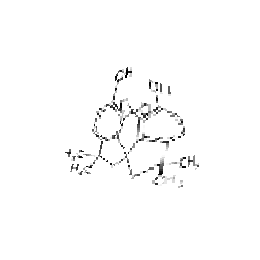 CC1(C)CC2(CC(C)(C)c3ccc(O)c(Cl)c32)c2c1ccc(O)c2Cl